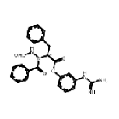 N=C(N)Nc1cccc(OC(=O)[C@H](Cc2ccccc2)N(NC=O)C(=O)c2ccccc2)c1